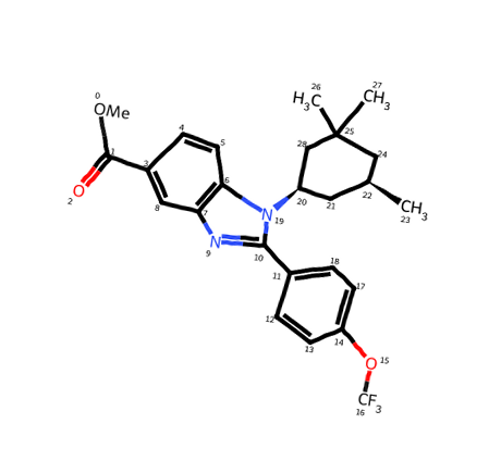 COC(=O)c1ccc2c(c1)nc(-c1ccc(OC(F)(F)F)cc1)n2[C@@H]1C[C@H](C)CC(C)(C)C1